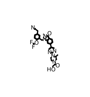 CC1CN(C(=O)CO)CCN1c1ncc(-c2ccc3c(=O)n(C)n(Cc4cc(CC#N)ccc4OC(F)F)c3c2)cn1